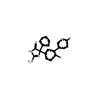 NC1=NC(c2cc[c]cc2)(c2ccc(F)c(-c3ccc(F)nc3)c2)C(=O)N1